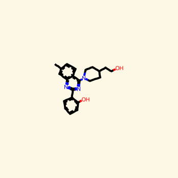 Cc1ccc2c(N3CCC(CCO)CC3)nc(-c3ccccc3O)nc2c1